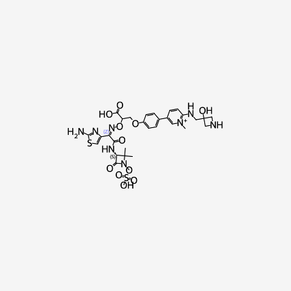 C[n+]1cc(-c2ccc(OCC(O/N=C(\C(=O)N[C@@H]3C(=O)N(OS(=O)(=O)O)C3(C)C)c3csc(N)n3)C(=O)O)cc2)ccc1NCC1(O)CNC1